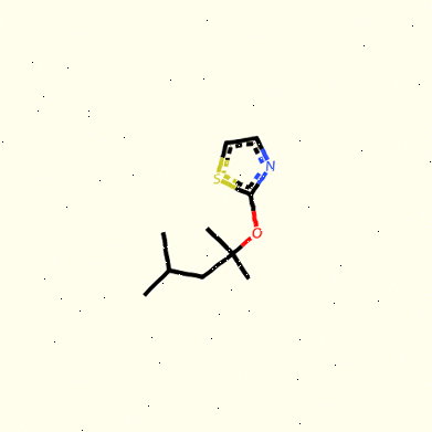 CC(C)CC(C)(C)Oc1nccs1